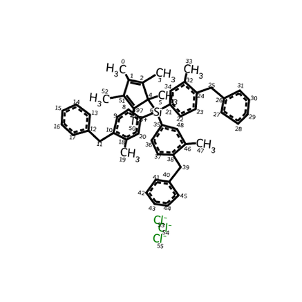 CC1=C(C)C(C)([Si](c2ccc(Cc3ccccc3)c(C)c2)(c2ccc(Cc3ccccc3)c(C)c2)c2ccc(Cc3ccccc3)c(C)c2)[C]([Ti+3])=C1C.[Cl-].[Cl-].[Cl-]